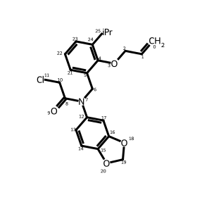 C=CCOc1c(CN(C(=O)CCl)c2ccc3c(c2)OCO3)cccc1C(C)C